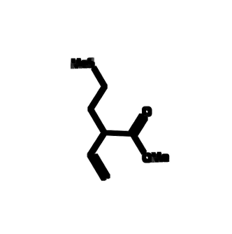 C=CC(CCSC)C(=O)OC